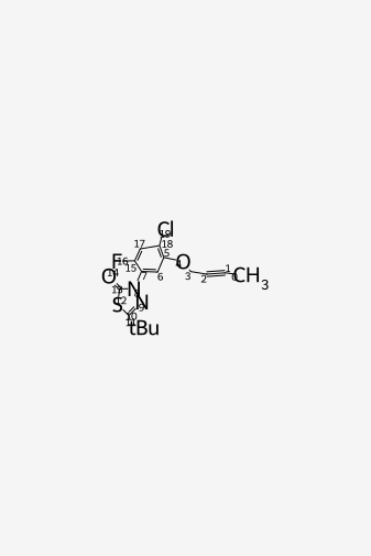 CC#CCOc1cc(-n2nc(C(C)(C)C)sc2=O)c(F)cc1Cl